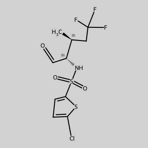 C[C@@H](CC(F)(F)F)[C@@H](C=O)NS(=O)(=O)c1ccc(Cl)s1